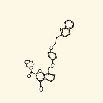 CCOC(=O)c1cc(=O)c2cccc(COc3ccc(OCCc4ccc5ccccc5n4)cc3)c2o1